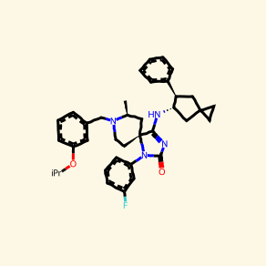 CC(C)Oc1cccc(CN2CC[C@@]3(C[C@@H]2C)C(N[C@H]2CC4(CC4)C[C@@H]2c2ccccc2)=NC(=O)N3c2cccc(F)c2)c1